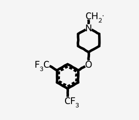 [CH2]N1CCC(Oc2cc(C(F)(F)F)cc(C(F)(F)F)c2)CC1